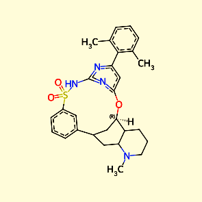 Cc1cccc(C)c1-c1cc2nc(n1)NS(=O)(=O)c1cccc(c1)C1CC3C(CCCN3C)[C@@H](C1)O2